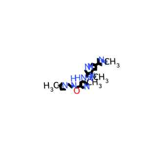 Cc1ncc(C(=O)NCCN2CC[C@@H](C)C2)cc1Nc1nn(C)c2c1cnn1cc(-c3cnn(C)c3)cc21